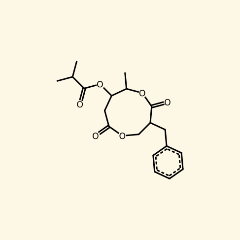 CC(C)C(=O)OC1CC(=O)OCC(Cc2ccccc2)C(=O)OC1C